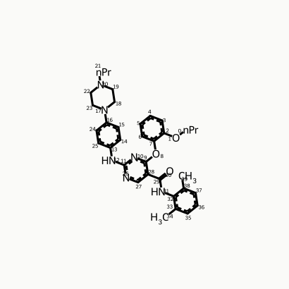 CCCOc1ccccc1Oc1nc(Nc2ccc(N3CCN(CCC)CC3)cc2)ncc1C(=O)Nc1c(C)cccc1C